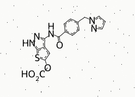 O=C(O)Oc1cc2c(NC(=O)c3ccc(Cn4cccn4)cc3)n[nH]c2s1